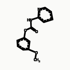 COc1cccc(OC(=O)Nc2ccccn2)c1